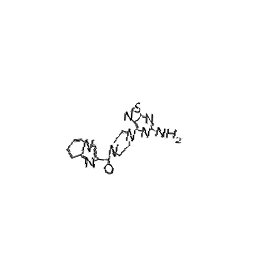 Nc1nc(N2CCN(C(=O)c3cn4ccccc4n3)CC2)c2ncsc2n1